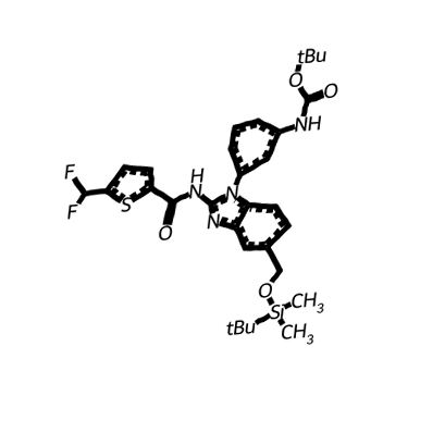 CC(C)(C)OC(=O)Nc1cccc(-n2c(NC(=O)c3ccc(C(F)F)s3)nc3cc(CO[Si](C)(C)C(C)(C)C)ccc32)c1